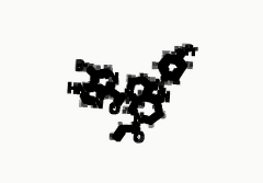 C=CC(=O)N1CCc2nn(-c3ccc(C(C)C)cc3)c3c2[C@H](C1)N(C(=O)c1ncc(Br)c2[nH]cnc12)CC3